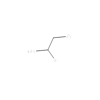 [CH2]CCC(CC)CC(C)C